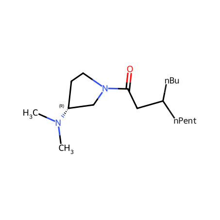 CCCCCC(CCCC)CC(=O)N1CC[C@@H](N(C)C)C1